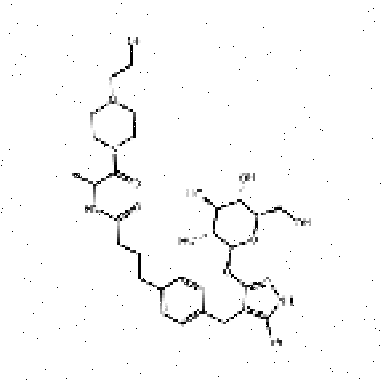 CC(C)c1[nH]nc(O[C@@H]2O[C@H](CO)[C@@H](O)[C@H](O)[C@H]2O)c1Cc1ccc(CCCC(=O)N[C@@H](C)C(=O)N2CCN(CCO)CC2)cc1